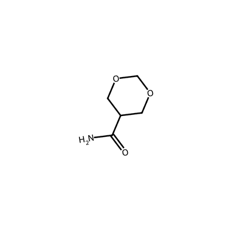 NC(=O)C1COCOC1